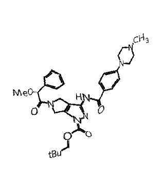 CO[C@@H](C(=O)N1Cc2c(NC(=O)c3ccc(N4CCN(C)CC4)cc3)nn(C(=O)OCC(C)(C)C)c2C1)c1ccccc1